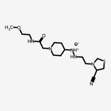 COCCNC(=O)CN1CCC([NH+]([O-])NCCN2CSCC2C#N)CC1